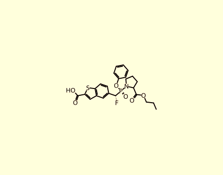 CCCOC(=O)C1CCCN1P(=O)(Oc1ccccc1)[C@H](F)c1ccc2sc(C(=O)O)cc2c1